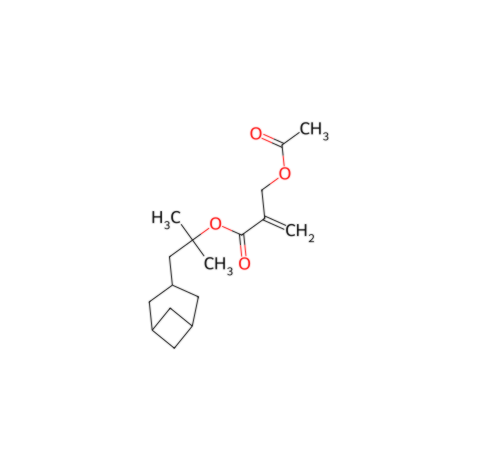 C=C(COC(C)=O)C(=O)OC(C)(C)CC1CC2CC(C2)C1